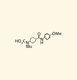 COc1ccc(NC(=O)C2CCC(N(C(=O)O)C(C)(C)C)CC2)cc1